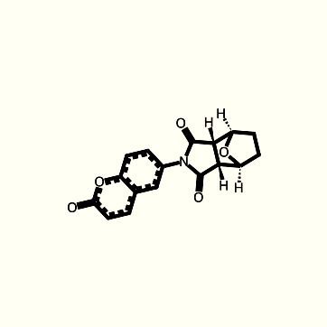 O=C1[C@@H]2[C@H](C(=O)N1c1ccc3oc(=O)ccc3c1)[C@H]1CC[C@@H]2O1